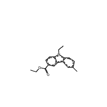 CCOC(=O)c1ccc2c(c1)c1cc(C)ccc1n2CC